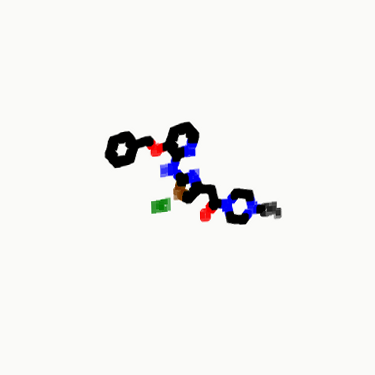 CN1CCN(C(=O)Cc2csc(Nc3ncccc3OCc3ccccc3)n2)CC1.Cl